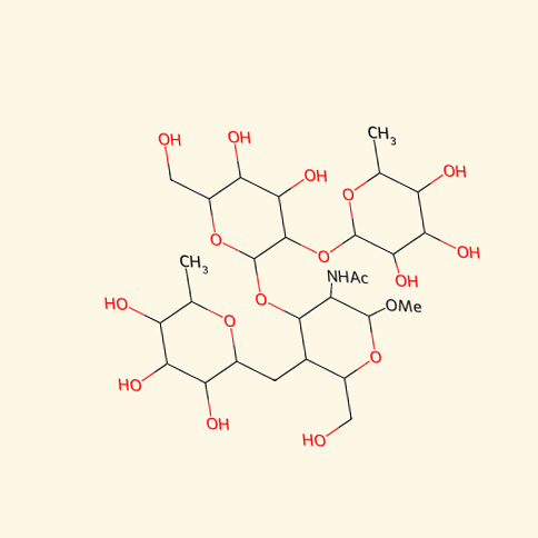 COC1OC(CO)C(CC2OC(C)C(O)C(O)C2O)C(OC2OC(CO)C(O)C(O)C2OC2OC(C)C(O)C(O)C2O)C1NC(C)=O